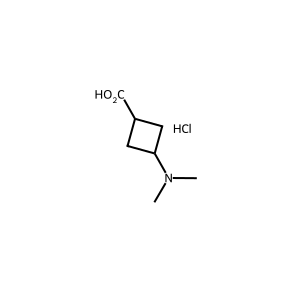 CN(C)C1CC(C(=O)O)C1.Cl